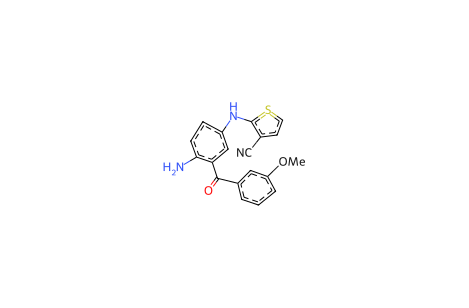 COc1cccc(C(=O)c2cc(Nc3sccc3C#N)ccc2N)c1